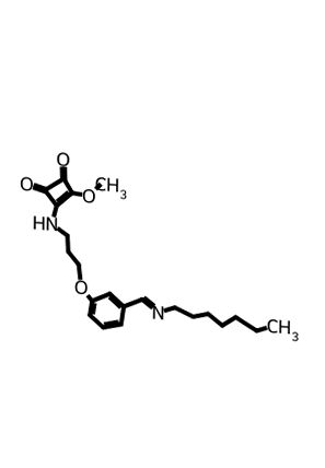 CCCCCCCN=Cc1cccc(OCCCNc2c(OC)c(=O)c2=O)c1